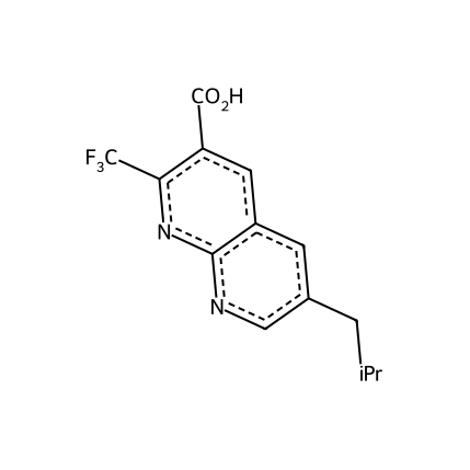 CC(C)Cc1cnc2nc(C(F)(F)F)c(C(=O)O)cc2c1